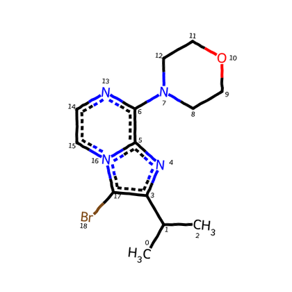 CC(C)c1nc2c(N3CCOCC3)nccn2c1Br